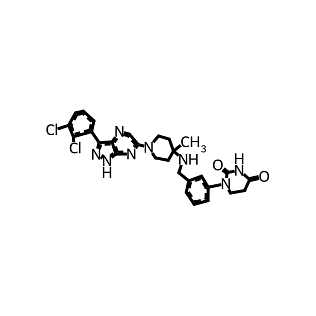 CC1(NCc2cccc(N3CCC(=O)NC3=O)c2)CCN(c2cnc3c(-c4cccc(Cl)c4Cl)n[nH]c3n2)CC1